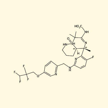 CC1(C)C(NC(=O)O)=N[C@](C)(c2nc(NCc3ccc(OCC(F)(F)C(F)F)cn3)ccc2F)[C@H]2CCCN[SH]21=O